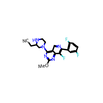 COc1nc(N2CCNC(CC#N)C2)c2cnc(-c3cc(F)ccc3F)c(F)c2n1